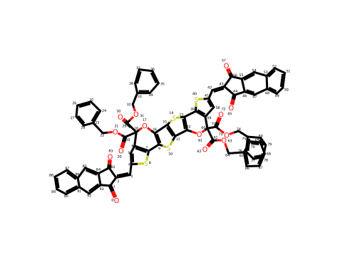 O=C1C(=Cc2cc3c(s2)-c2sc4c5c(sc4c2OC3(C(=O)OCc2ccccc2)C(=O)OCc2ccccc2)-c2sc(C=C3C(=O)c4cc6ccccc6cc4C3=O)cc2C(C(=O)OCc2ccccc2)(C(=O)OCc2ccccc2)O5)C(=O)c2cc3ccccc3cc21